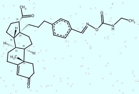 CCNC(=O)O/N=C/c1ccc(CCC[C@]23CC[C@@H]4[C@@H](CCC5=CC(=O)CC[C@]54C)[C@@H]2CC[C@@H]3C(C)=O)cc1